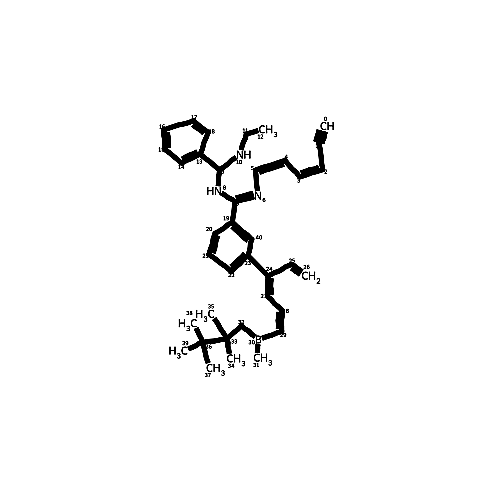 C#C\C=C/C=C\N=C(/NC(NCC)c1ccccc1)c1cccc(/C(C=C)=C/C=C\B(C)CC(C)(C)C(C)(C)C)c1